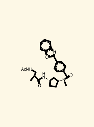 CC(=O)NCC(C)C(=O)N[C@H]1CC[C@@H](N(C)C(=O)c2ccc(-c3nc4ccccc4o3)cc2)C1